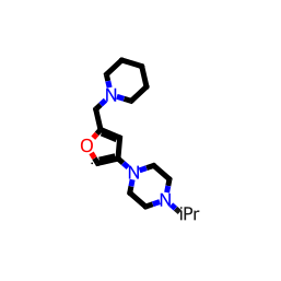 CC(C)N1CCN(c2[c]oc(CN3CCCCC3)c2)CC1